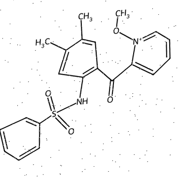 CO[n+]1ccccc1C(=O)c1cc(C)c(C)cc1NS(=O)(=O)c1ccccc1